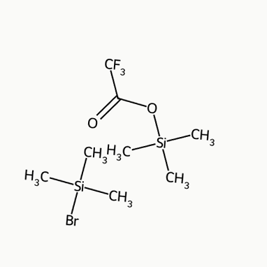 C[Si](C)(C)Br.C[Si](C)(C)OC(=O)C(F)(F)F